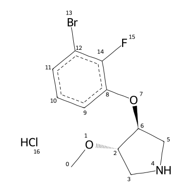 CO[C@H]1CNC[C@@H]1Oc1cccc(Br)c1F.Cl